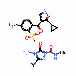 CC(C)c1nn(C(=O)NC(C)(C)C)c(=O)n1N.CS(=O)(=O)c1cc(C(F)(F)F)ccc1C(=O)c1cnoc1C1CC1